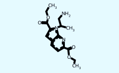 CCOC(=O)c1ccc2cc(C(=O)OCC)n(C(C)CN)c2n1